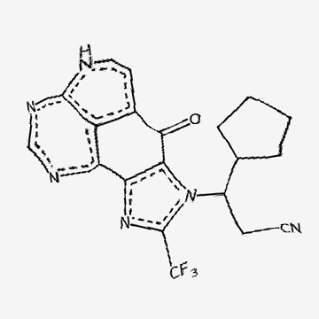 N#CCC(C1CCCC1)n1c(C(F)(F)F)nc2c1C(=O)c1c[nH]c3ncnc-2c13